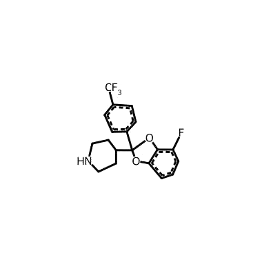 Fc1cccc2c1OC(c1ccc(C(F)(F)F)cc1)(C1CCNCC1)O2